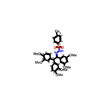 COc1cc(OC)cc(/C(=N\NS(=O)(=O)c2ccc(C)cc2)C(c2ccc(OC)c(OC)c2)c2ccc(OC)c(OC)c2)c1